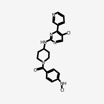 O=C(c1ccc(NCl)cc1)N1CCC(Nc2ncc(Cl)c(-c3cccnc3)n2)CC1